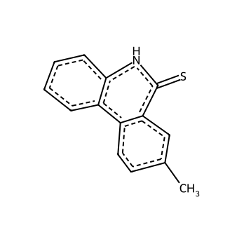 Cc1ccc2c(c1)c(=S)[nH]c1ccccc12